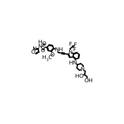 COc1cc(S(=O)(=O)Nc2ccon2)ccc1NCC#Cc1cc2c(NC3CCN(CC(O)CO)CC3)cccc2n1CC(F)(F)F